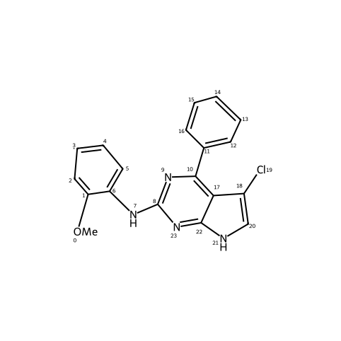 COc1c[c]ccc1Nc1nc(-c2ccccc2)c2c(Cl)c[nH]c2n1